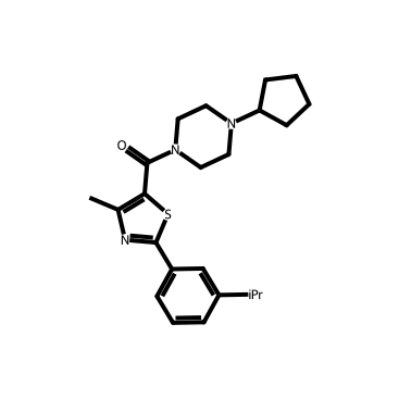 Cc1nc(-c2cccc(C(C)C)c2)sc1C(=O)N1CCN(C2CCCC2)CC1